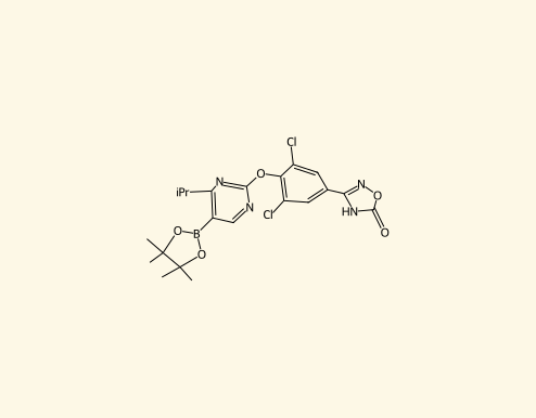 CC(C)c1nc(Oc2c(Cl)cc(-c3noc(=O)[nH]3)cc2Cl)ncc1B1OC(C)(C)C(C)(C)O1